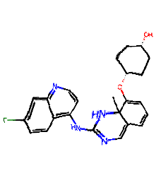 CC12NC(Nc3ccnc4cc(F)ccc34)=NC=C1C=CC=C2O[C@H]1CC[C@@H](O)CC1